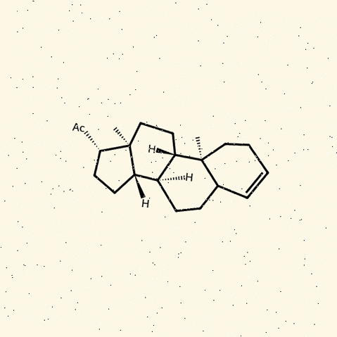 CC(=O)[C@H]1CC[C@H]2[C@@H]3CCC4C=CCC[C@]4(C)[C@H]3CC[C@]12C